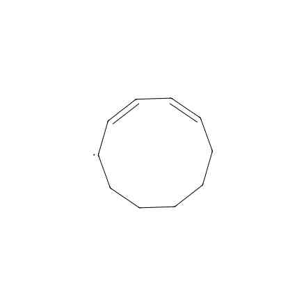 [CH]1/C=C\C=C/CCCCC1